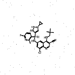 [2H][C@@](Nc1cc(Cl)c2ncc(C#N)c(NCC(C)(C)C)c2c1)(C1=CN(C2CC2)NN1)c1ccc(F)nc1C